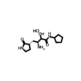 Cl.N[C@@H](C[C@@H]1CCNC1=O)C(O)C(=O)NC1CCCC1